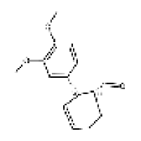 COc1ccc([C@H]2C=CCC[C@H]2C=O)cc1OC